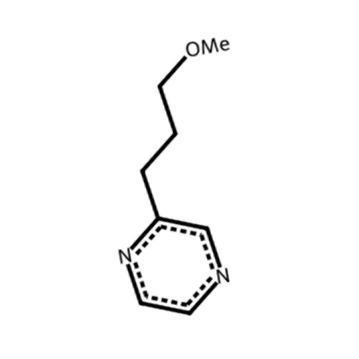 COCCCc1cnccn1